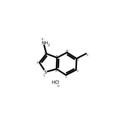 Cc1ccc2scc(N)c2c1.Cl